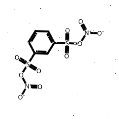 O=[N+]([O-])OS(=O)(=O)c1cccc(S(=O)(=O)O[N+](=O)[O-])c1